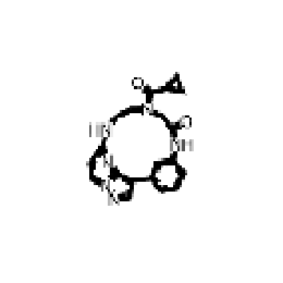 O=C1CN(C(=O)C2CC2)CCNc2ccn3ncc(c3n2)-c2cccc(c2)N1